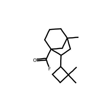 CC12CCCC(C(=O)F)(C1)C(C1CCC1(C)C)C2